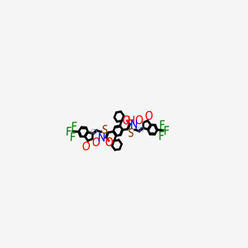 O=C1C(=O)c2cc(C(F)(F)F)ccc2/C1=C/c1nc2c(s1)-c1cc3c(cc1C1(CCCCC1)O2)-c1sc(/C=C2/c4ccc(C(F)(F)F)cc4C(=O)C2O)nc1OC31CCCCC1